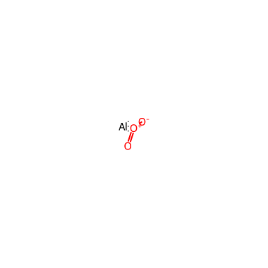 O=[O+][O-].[Al]